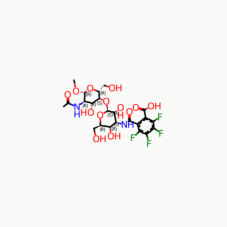 CO[C@@H]1O[C@H](CO)[C@@H](O[C@@H]2O[C@H](CO)[C@H](O)[C@H](NC(=O)c3c(F)c(F)c(F)c(F)c3C(=O)O)[C@H]2O)[C@H](O)[C@H]1NC(C)=O